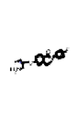 NC/C(=C\F)COc1ccc2c(c1)CCN(c1ccc(F)cc1)C2=O